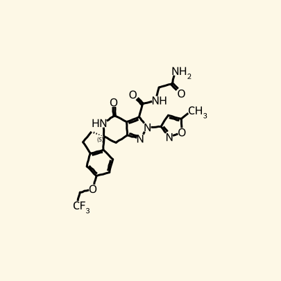 Cc1cc(-n2nc3c(c2C(=O)NCC(N)=O)C(=O)N[C@@]2(CCc4cc(OCC(F)(F)F)ccc42)C3)no1